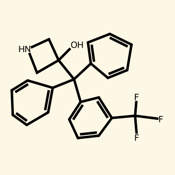 OC1(C(c2ccccc2)(c2ccccc2)c2cccc(C(F)(F)F)c2)CNC1